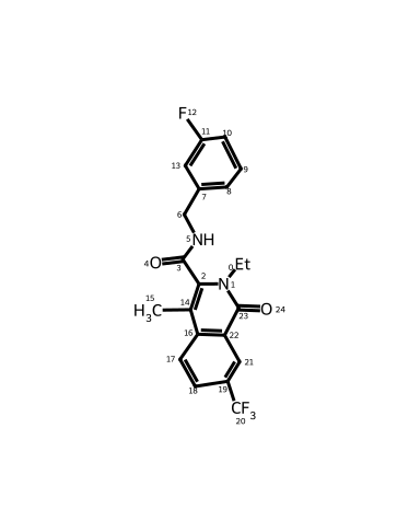 CCn1c(C(=O)NCc2cccc(F)c2)c(C)c2ccc(C(F)(F)F)cc2c1=O